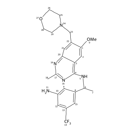 COc1cc2c(NC(C)c3cc(N)cc(C(F)(F)F)c3)nc(C)nc2cc1CN1CCOCC1